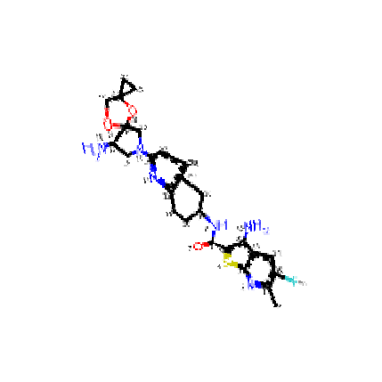 Cc1nc2sc(C(=O)NC3CCc4nc(N5CC(N)C6(C5)OCC5(CC5)O6)ccc4C3)c(N)c2cc1F